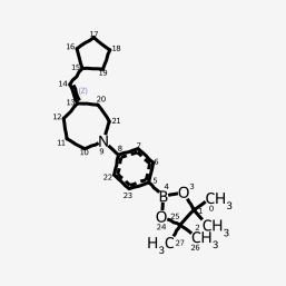 CC1(C)OB(c2ccc(N3CCC/C(=C/C4CCCC4)CC3)cc2)OC1(C)C